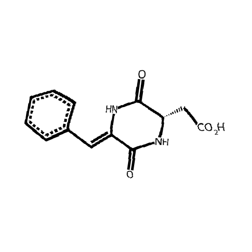 O=C(O)C[C@@H]1NC(=O)C(=Cc2ccccc2)NC1=O